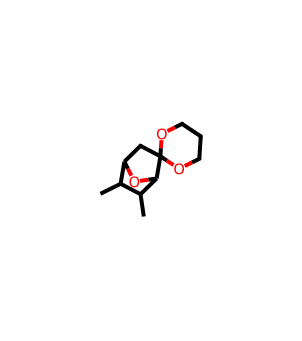 CC1C2CC3(OCCCO3)C(O2)C1C